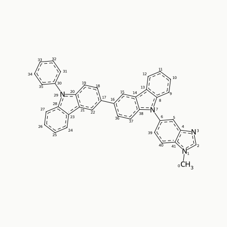 Cn1cnc2cc(-n3c4ccccc4c4cc(-c5ccc6c(c5)c5ccccc5n6-c5ccccc5)ccc43)ccc21